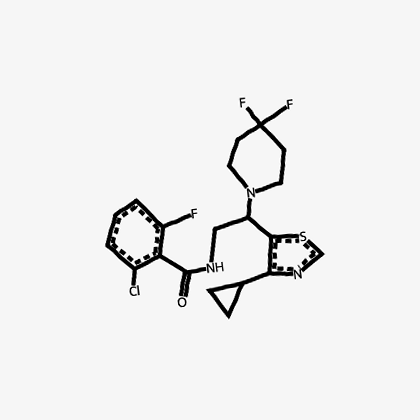 O=C(NCC(c1scnc1C1CC1)N1CCC(F)(F)CC1)c1c(F)cccc1Cl